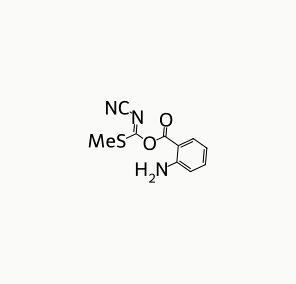 CSC(=NC#N)OC(=O)c1ccccc1N